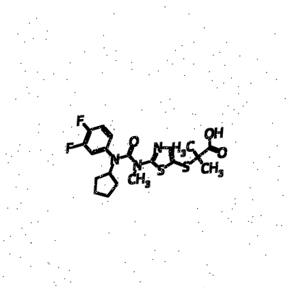 CN(C(=O)N(c1ccc(F)c(F)c1)C1CCCC1)c1ncc(SC(C)(C)C(=O)O)s1